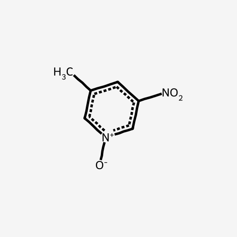 Cc1cc([N+](=O)[O-])c[n+]([O-])c1